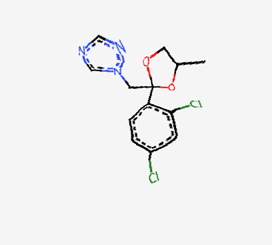 CC1COC(Cn2cncn2)(c2ccc(Cl)cc2Cl)O1